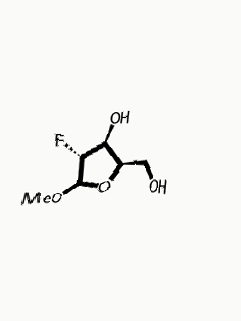 COC1O[C@H](CO)[C@H](O)[C@H]1F